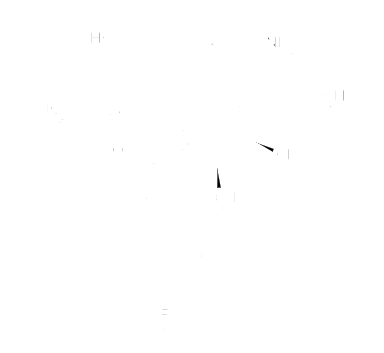 C[C@H](C(c1ccc(O)c(O)c1)[C@H](N)C(=O)O)[C@@H](C)OC(=O)c1ccc(F)cc1.Cl